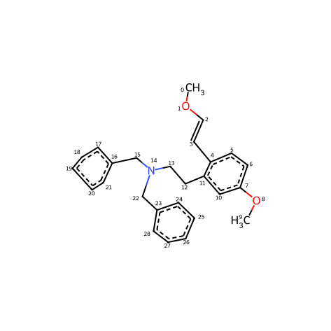 CO/C=C/c1ccc(OC)cc1CCN(Cc1ccccc1)Cc1ccccc1